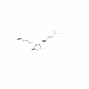 C=CCCCC[C@H]1C(=O)C[C@@H](O)[C@@H]1/C=C/[C@@H](O)C[C@@H](C)CCCC